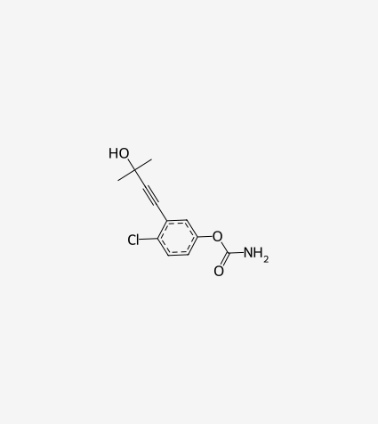 CC(C)(O)C#Cc1cc(OC(N)=O)ccc1Cl